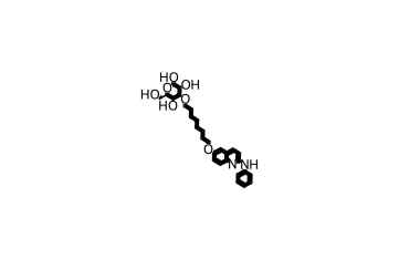 OC[C@H]1OC(O)[C@H](O)[C@@H](OCCCCCCCCOc2ccc3nc(Nc4ccccc4)ccc3c2)[C@@H]1O